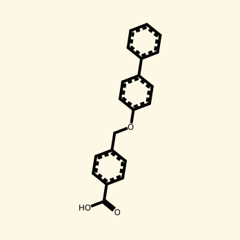 O=C(O)c1ccc(COc2ccc(-c3ccccc3)cc2)cc1